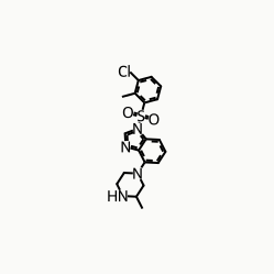 Cc1c(Cl)cccc1S(=O)(=O)n1cnc2c(N3CCNC(C)C3)cccc21